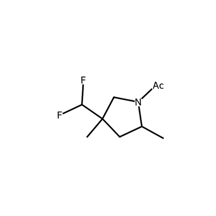 CC(=O)N1CC(C)(C(F)F)CC1C